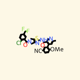 COc1ccc(C#N)cc1-c1cc(C)ncc1C(=O)Nc1nc2c(s1)CN(C(=O)c1cc(C(F)F)ccc1Cl)C2